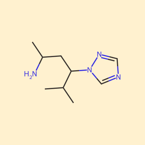 CC(N)CC(C(C)C)n1cncn1